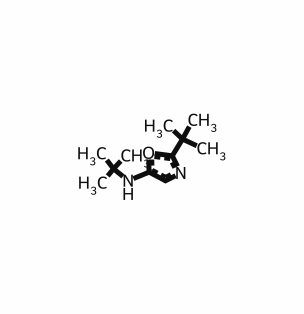 CC(C)(C)Nc1cnc(C(C)(C)C)o1